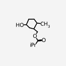 CC(C)C(=O)OCC1CC(O)CCC1C